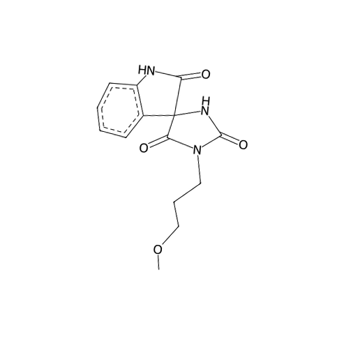 COCCCN1C(=O)NC2(C(=O)Nc3ccccc32)C1=O